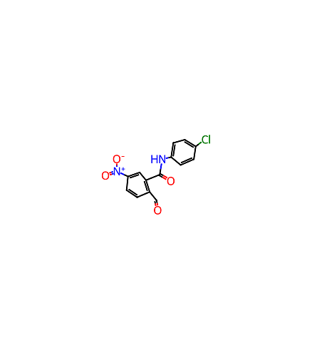 O=Cc1ccc([N+](=O)[O-])cc1C(=O)Nc1ccc(Cl)cc1